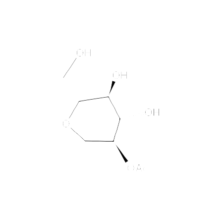 CC(=O)O[C@H]1[CH]O[C@H](CO)[C@@H](O)[C@@H]1O